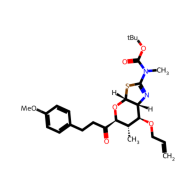 C=CCO[C@H]1[C@H](C)[C@@H](C(=O)CCc2ccc(OC)cc2)O[C@@H]2SC(N(C)C(=O)OC(C)(C)C)=N[C@H]12